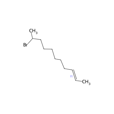 C/C=C/CCCCCCC(C)Br